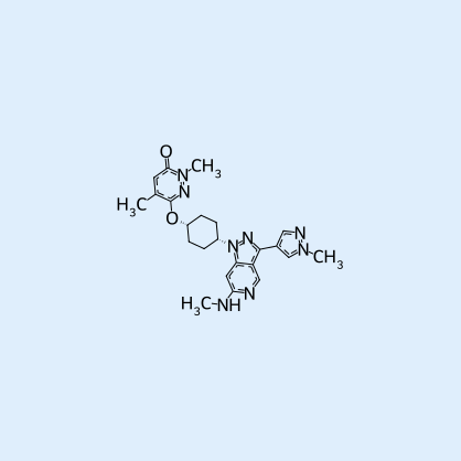 CNc1cc2c(cn1)c(-c1cnn(C)c1)nn2[C@H]1CC[C@@H](Oc2nn(C)c(=O)cc2C)CC1